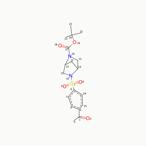 CC(=O)c1ccc(S(=O)(=O)N2CC3CC2CN3C(=O)OC(C)(C)C)cc1